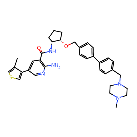 Cc1cscc1-c1cnc(N)c(C(=O)N[C@H]2CCC[C@@H]2OCc2ccc(-c3ccc(CN4CCN(C)CC4)cc3)cc2)c1